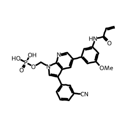 C=CC(=O)Nc1cc(OC)cc(-c2cnc3c(c2)c(-c2cccc(C#N)c2)cn3COP(=O)(O)O)c1